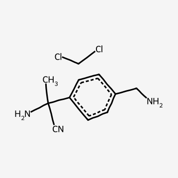 CC(N)(C#N)c1ccc(CN)cc1.ClCCl